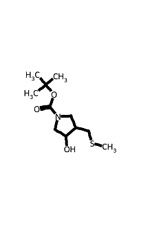 CSCC1CN(C(=O)OC(C)(C)C)CC1O